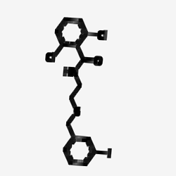 O=C(NCCSCc1cccc(I)c1)c1c(Cl)cccc1Cl